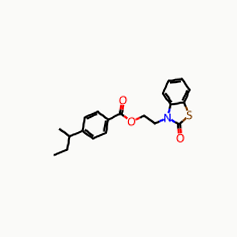 CCC(C)c1ccc(C(=O)OCCn2c(=O)sc3ccccc32)cc1